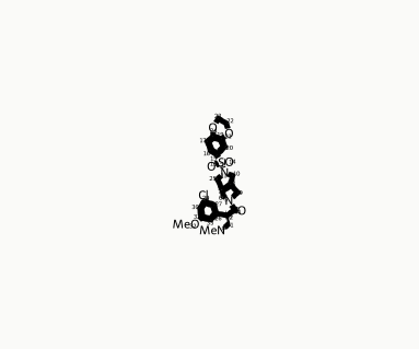 CNC[C@H](C(=O)N1CC2=C(C1)CN(S(=O)(=O)c1ccc3c(c1)OCCO3)C2)c1cc(Cl)cc(OC)c1